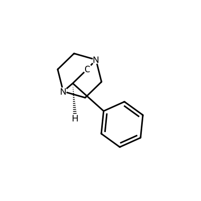 c1ccc([C@@H]2CN3CCN2CC3)cc1